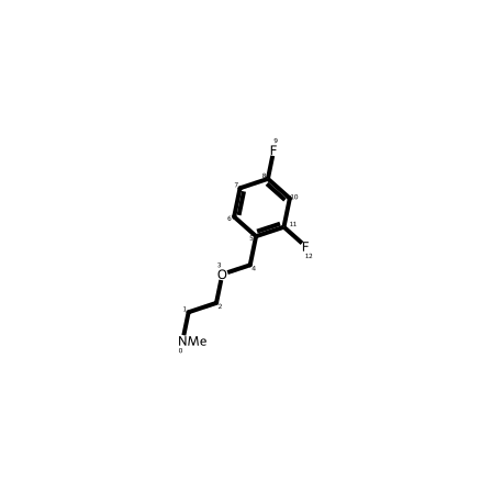 CNCCOCc1ccc(F)cc1F